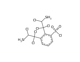 O=S(=O)(Cl)c1cccc(C(Cl)(Cl)C([SiH3])Cl)c1C(Cl)(Cl)C([SiH3])Cl